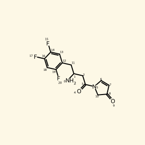 NC(CC(=O)N1C=CC(=O)C1)Cc1cc(F)c(F)cc1F